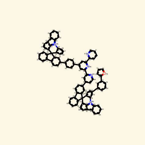 c1ccc(-c2cc(-c3ccc(-c4ccc5c(c4)C4(c6ccccc6-5)c5ccccc5-n5c6ccccc6c6cccc4c65)cc3)cc(-c3cc(-c4ccc5c(c4)C4(c6ccccc6-5)c5ccc(-c6cccc(-c7ccco7)c6)cc5-n5c6ccccc6c6cccc4c65)ccn3)n2)nc1